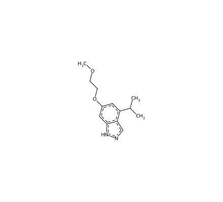 COCCOc1cc(C(C)C)c2cn[nH]c2c1